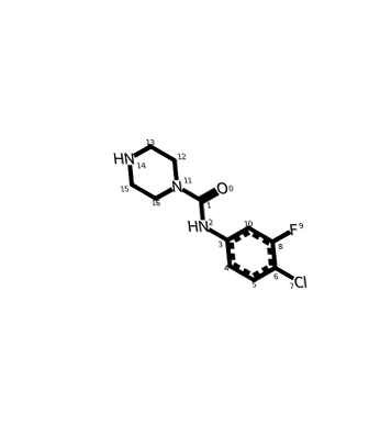 O=C(Nc1ccc(Cl)c(F)c1)N1CCNCC1